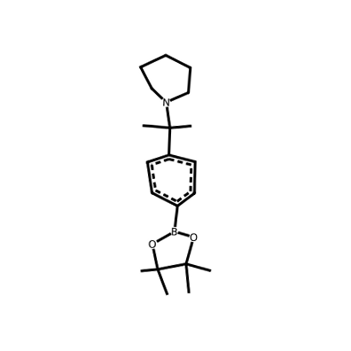 CC(C)(c1ccc(B2OC(C)(C)C(C)(C)O2)cc1)N1CCCCC1